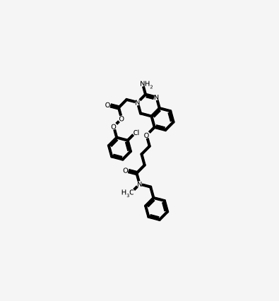 CN(Cc1ccccc1)C(=O)CCCOc1cccc2c1CN(CC(=O)OOc1ccccc1Cl)C(N)=N2